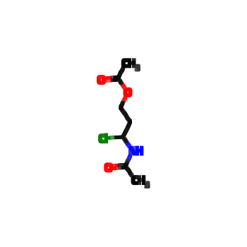 CC(=O)NC(Cl)CCOC(C)=O